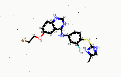 Cc1c[nH]c(Sc2ccc(Nc3ncnc4ccc(OCCBr)cc34)cc2F)n1